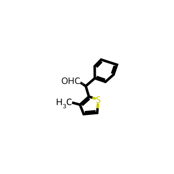 Cc1ccsc1C(C=O)c1ccccc1